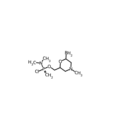 BC1CN(C)CC(COP(=C)(Cl)N(C)C)O1